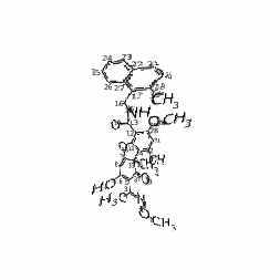 CON=C(C)C1=C(O)C=C2Oc3c(C(=O)NCc4c(C)ccc5ccccc45)c(OC)cc(O)c3[C@]2(C)C1=O